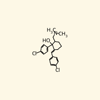 CN(C)CC1CCCC(=Cc2ccc(Cl)cc2)C1(O)c1ccc(Cl)cc1